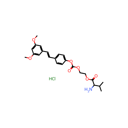 COc1cc(C=Cc2ccc(OC(=O)OCCOC(=O)C(N)C(C)C)cc2)cc(OC)c1.Cl